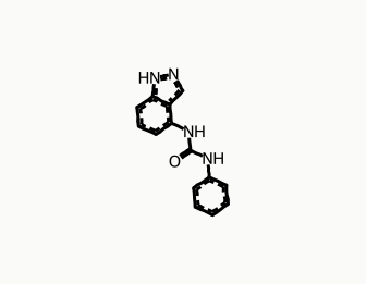 O=C(Nc1ccccc1)Nc1cccc2[nH]ncc12